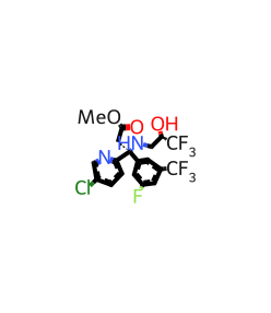 COC(=O)C[C@](NC[C@@H](O)C(F)(F)F)(c1cc(F)cc(C(F)(F)F)c1)c1ccc(Cl)cn1